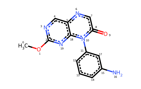 COc1ncc2ncc(=O)n(-c3cccc(N)c3)c2n1